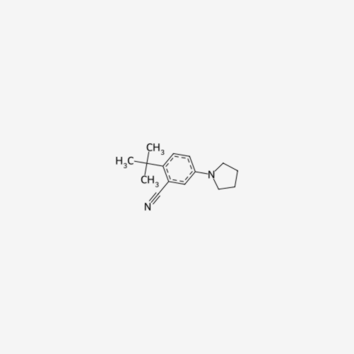 CC(C)(C)c1ccc(N2CCCC2)cc1C#N